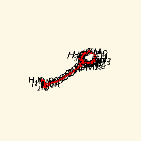 CO[C@H]1C[C@@H]2CC[C@@H](C)[C@@](O)(O2)C(=O)C(=O)N2CCCC[C@H]2C(=O)O[C@H]([C@H](N)C[C@@H]2CC[C@@H](OC(=O)NCCOCCOCCOCCOCCOCCOCCOCCOCCC(=O)NCc3ncc(Cn4nc(-c5ccc6oc(N)nc6c5)c5c(N)ncnc54)cn3)[C@H](OC)C2)C[C@@H](O)[C@H](C)/C=C(\C)[C@@H](O)[C@@H](O)C(=O)[C@H](C)C[C@H](C)/C=C/C=C/C=C/1C